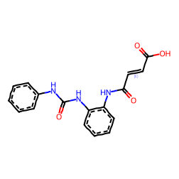 O=C(O)/C=C/C(=O)Nc1ccccc1NC(=O)Nc1ccccc1